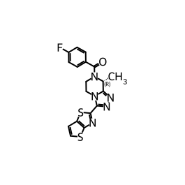 C[C@@H]1c2nnc(-c3nc4sccc4s3)n2CCN1C(=O)c1ccc(F)cc1